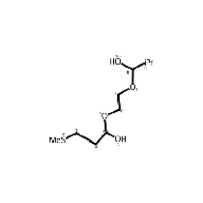 CSCCC(O)OCCOC(O)C(C)C